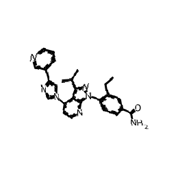 CCc1cc(C(N)=O)ccc1-n1nc(C(C)C)c2c(-n3cnc(-c4cccnc4)c3)ccnc21